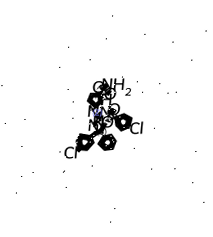 NS(=O)(=O)[C@@H]1CC[C@H](/N=C(\NS(=O)(=O)c2ccc(Cl)cc2)N2C[C@H](c3ccccc3)C(c3ccc(Cl)cc3)=N2)C1